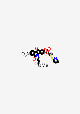 COC(=O)CCCn1c2c(c3ccc([N+](=O)[O-])cc3c1=O)C(=O)c1cc(OC(=O)OCCSSc3ccccn3)c(OC)cc1-2